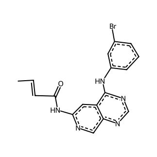 CC=CC(=O)Nc1cc2c(Nc3cccc(Br)c3)ncnc2cn1